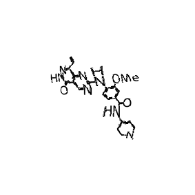 C=Cc1n[nH]c(=O)c2cnc(Nc3ccc(C(=O)NC4CCN(C)CC4)cc3OC)nc12